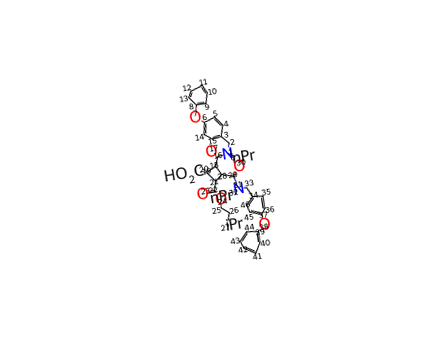 CCCN(Cc1ccc(Oc2ccccc2)cc1)C(=O)C1C(C(=O)O)C(C(=O)OCCC(C)C)C1C(=O)N(CCC)Cc1ccc(Oc2ccccc2)cc1